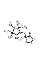 CC1(C)CC(C[C@@]2(C(=O)O)CCCN2)C(C)(C)N1O